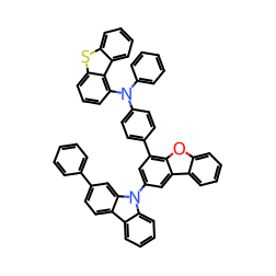 c1ccc(-c2ccc3c4ccccc4n(-c4cc(-c5ccc(N(c6ccccc6)c6cccc7sc8ccccc8c67)cc5)c5oc6ccccc6c5c4)c3c2)cc1